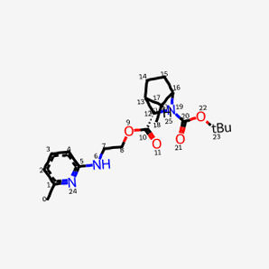 Cc1cccc(NCCOC(=O)[C@@H]2C3CCC([C@H]3C)N2C(=O)OC(C)(C)C)n1